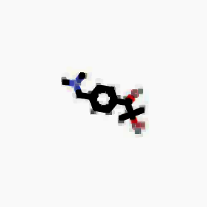 CN(C)Cc1ccc(C(=O)C(C)(C)O)cc1